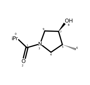 CC(C)C(=O)N1C[C@@H](C)[C@H](O)C1